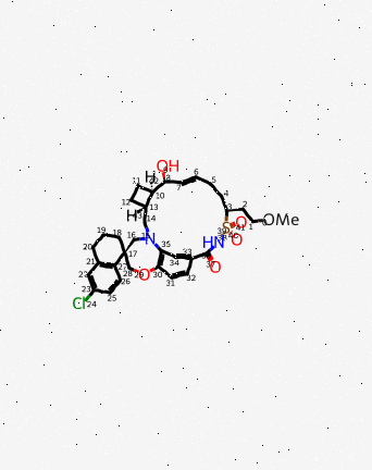 COCC[C@@H]1CC/C=C/[C@H](O)[C@@H]2CC[C@H]2CN2C[C@@]3(CCCc4cc(Cl)ccc43)COc3ccc(cc32)C(=O)NS1(=O)=O